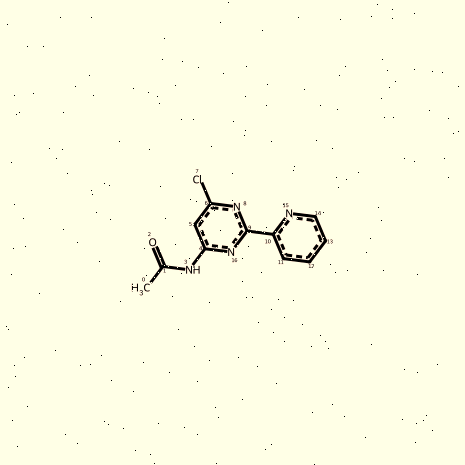 CC(=O)Nc1cc(Cl)nc(-c2ccccn2)n1